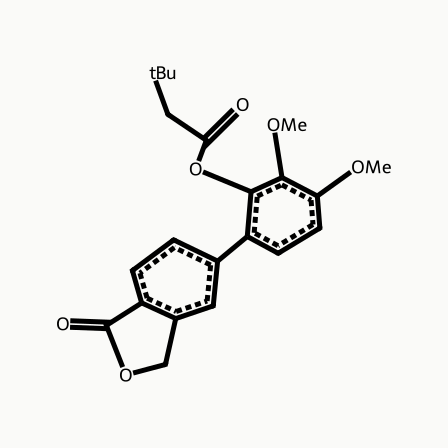 COc1ccc(-c2ccc3c(c2)COC3=O)c(OC(=O)CC(C)(C)C)c1OC